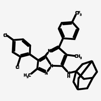 Cc1nn2c(NC34CC5CC(CC(C5)C3)C4)c(C)c(-c3ccc(C(F)(F)F)cc3)nc2c1-c1ccc(Cl)cc1Cl